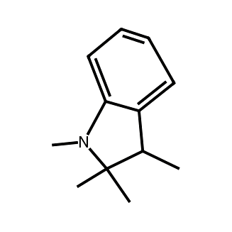 CC1c2ccccc2N(C)C1(C)C